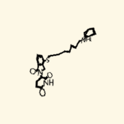 O=C1CCC(N2Cc3c(SCCCCCCCN[C@H]4CC5CCC4C5)cccc3C2=O)C(=O)N1